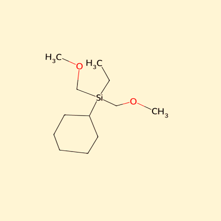 CC[Si](COC)(COC)C1CCCCC1